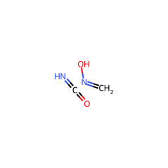 C=NO.N=C=O